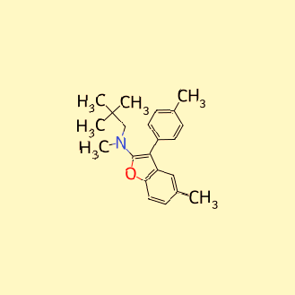 Cc1ccc(-c2c(N(C)CC(C)(C)C)oc3ccc(C)cc23)cc1